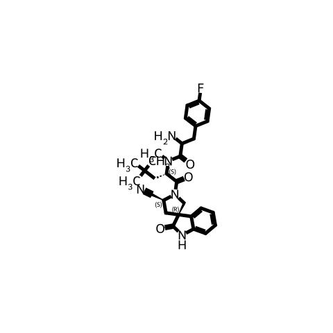 CN(C(=O)C(N)Cc1ccc(F)cc1)[C@@H](CC(C)(C)C)C(=O)N1C[C@]2(C[C@H]1C#N)C(=O)Nc1ccccc12